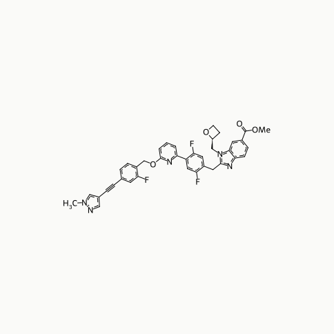 COC(=O)c1ccc2nc(Cc3cc(F)c(-c4cccc(OCc5ccc(C#Cc6cnn(C)c6)cc5F)n4)cc3F)n(C[C@@H]3CCO3)c2c1